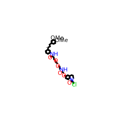 COc1ccc(CC[CH]c2cccc(NC(=O)CCOCCOCCNC(=O)COc3ccc4c(c3)CCCN4C(=O)CCl)c2)cc1OC